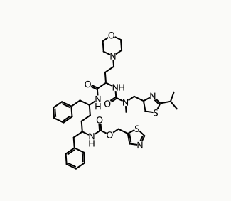 CC(C)C1=NC(CN(C)C(=O)NC(CCN2CCOCC2)C(=O)NC(CCC(Cc2ccccc2)NC(=O)OCc2cncs2)Cc2ccccc2)CS1